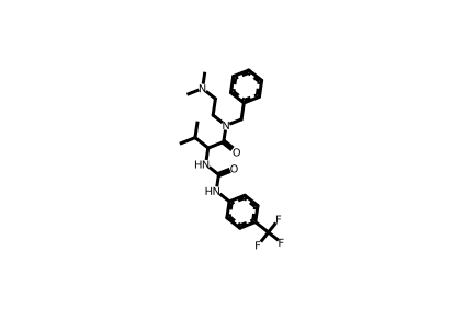 CC(C)C(NC(=O)Nc1ccc(C(F)(F)F)cc1)C(=O)N(CCN(C)C)Cc1ccccc1